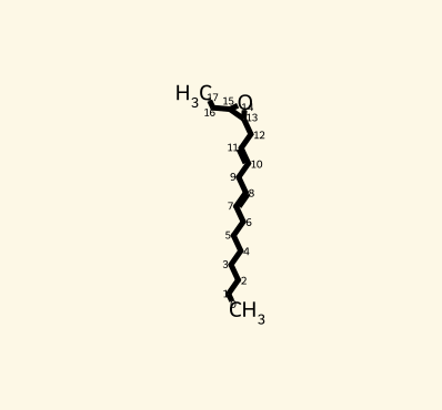 CCCCCCCC=CCC=CCC1OC1CC